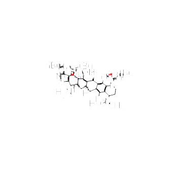 CCCCOc1noc2c1C(=O)[C@@]1(O[Si](C)(C)C(C)(C)C)C(O)=C3C(=O)c4c(c(F)c5c(c4OCCCC)N(C(=O)OC(C)(C)C)CCC5N(C)C)C[C@H]3C[C@H]1[C@@H]2N